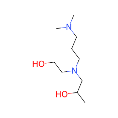 CC(O)CN(CCO)CCCN(C)C